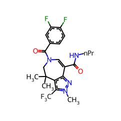 CCCNC(=O)C1=CN(C(=O)c2ccc(F)c(F)c2)CC(C)(C)c2c1nn(C)c2C(F)(F)F